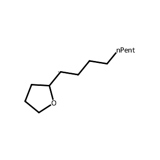 CCCCCCCC[CH]C1CCCO1